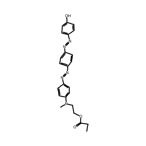 CCC(=O)OCCN(C)c1ccc(N=Nc2ccc(N=Nc3ccc(O)cc3)cc2)cc1